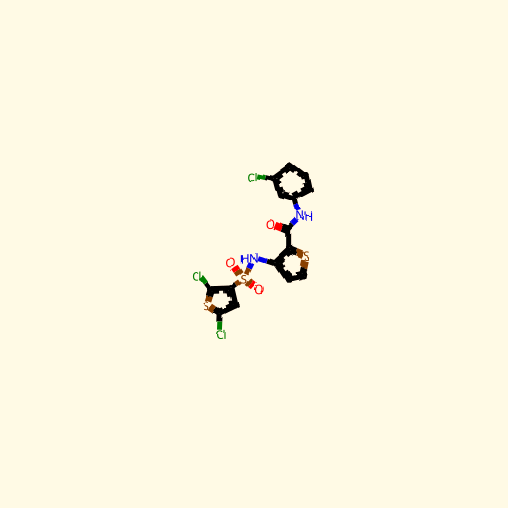 O=C(Nc1cccc(Cl)c1)c1sccc1NS(=O)(=O)c1cc(Cl)sc1Cl